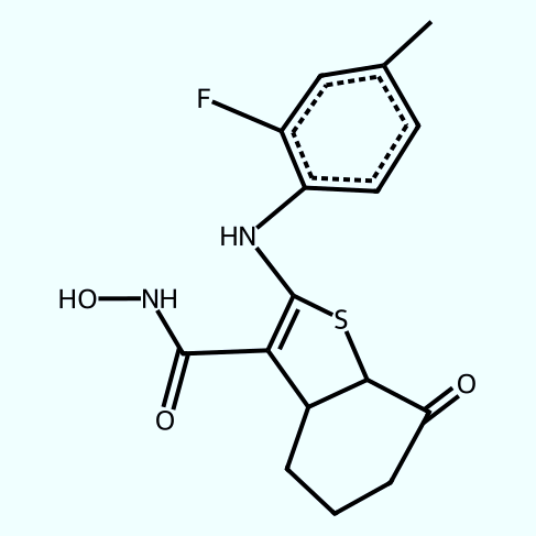 Cc1ccc(NC2=C(C(=O)NO)C3CCCC(=O)C3S2)c(F)c1